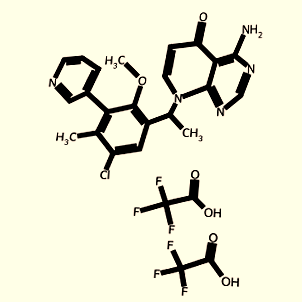 COc1c(C(C)n2ccc(=O)c3c(N)ncnc32)cc(Cl)c(C)c1-c1cccnc1.O=C(O)C(F)(F)F.O=C(O)C(F)(F)F